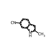 [C-]#[N+]c1ccc2cc(C)[nH]c2c1